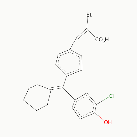 CCC(=Cc1ccc(C(=C2CCCCC2)c2ccc(O)c(Cl)c2)cc1)C(=O)O